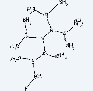 BB(B)B(B(B)B)B(B(B)B)B(B)B(B)BF